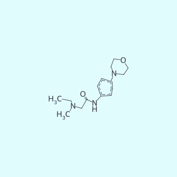 CCN(C)CC(=O)Nc1ccc(N2CCOCC2)cc1